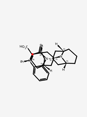 CC(C)[C@H]1C[C@H]2C[C@@H](C1)C[C@H](N1[C@@H]3CCC[C@H]1C[C@@H](n1c(=O)c(C(=O)O)nc4ccccc41)C3)C2